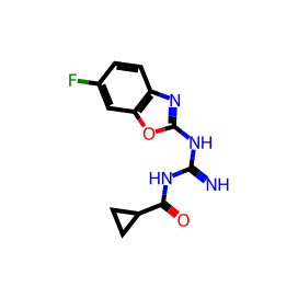 N=C(NC(=O)C1CC1)Nc1nc2ccc(F)cc2o1